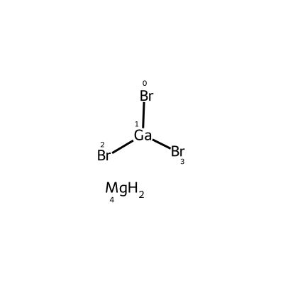 [Br][Ga]([Br])[Br].[MgH2]